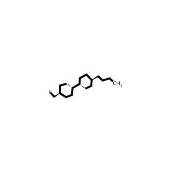 CCCC[C@H]1CC[C@H]([C@H]2CC[C@H](CI)CC2)CC1